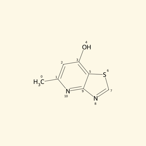 Cc1cc(O)c2scnc2n1